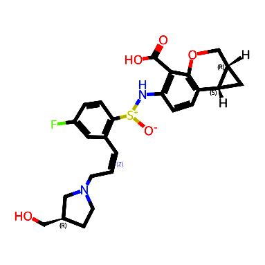 O=C(O)c1c(N[S+]([O-])c2ccc(F)cc2/C=C\CN2CC[C@@H](CO)C2)ccc2c1OC[C@@H]1C[C@H]21